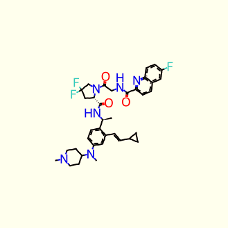 C[C@H](NC(=O)[C@@H]1CC(F)(F)CN1C(=O)CNC(=O)c1ccc2cc(F)ccc2n1)c1ccc(N(C)C2CCN(C)CC2)cc1/C=C/C1CC1